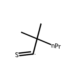 CCCC(C)(C)[C]=S